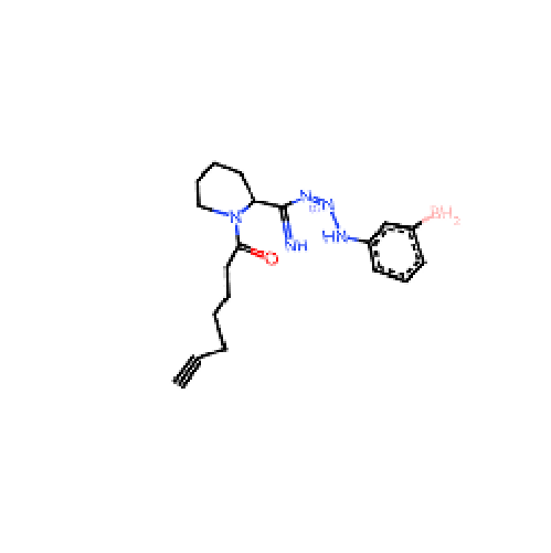 Bc1cccc(N/N=N\C(=N)C2CCCCN2C(=O)CCCCC#C)c1